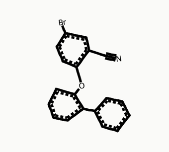 N#Cc1cc(Br)ccc1Oc1ccccc1-c1ccccc1